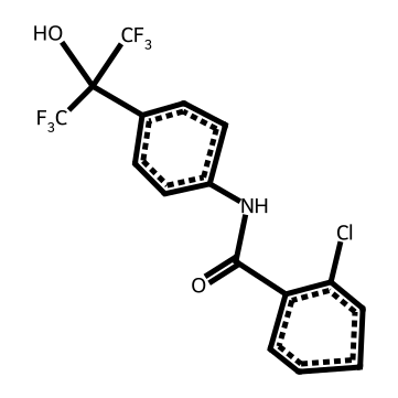 O=C(Nc1ccc(C(O)(C(F)(F)F)C(F)(F)F)cc1)c1ccccc1Cl